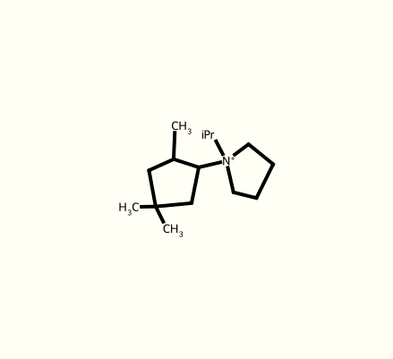 CC1CC(C)(C)CC1[N+]1(C(C)C)CCCC1